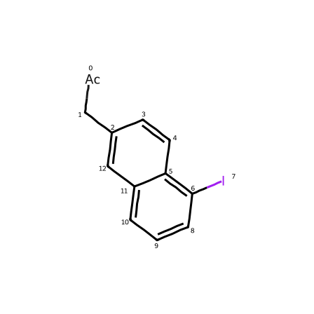 CC(=O)Cc1ccc2c(I)cccc2c1